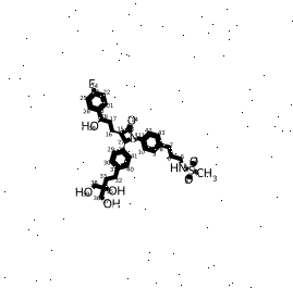 CS(=O)(=O)NCCCc1ccc(N2C(=O)[C@H](CC[C@H](O)c3ccc(F)cc3)[C@H]2c2ccc(CCC(O)(CO)CO)cc2)cc1